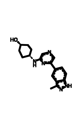 Cc1n[nH]c2ccc(-c3cncc(N[C@H]4CC[C@H](O)CC4)n3)cc12